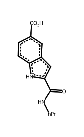 CCCNC(=O)c1cc2cc(C(=O)O)ccc2[nH]1